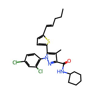 CCCC=Cc1ccc(-c2c(C)c(C(=O)NC3CCCCC3)nn2-c2ccc(Cl)cc2Cl)s1